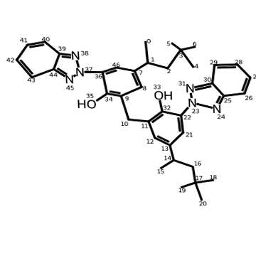 CC(CC(C)(C)C)c1cc(Cc2cc(C(C)CC(C)(C)C)cc(-n3nc4ccccc4n3)c2O)c(O)c(-n2nc3ccccc3n2)c1